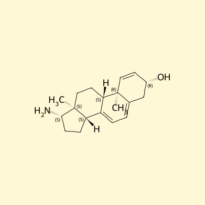 C[C@]12CC[C@H]3C(=CC=C4C[C@@H](O)C=C[C@@]43C)[C@@H]1CC[C@@H]2N